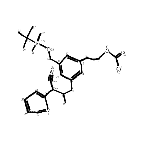 CC(Cc1cc(CCOC(=O)Cl)cc(CO[Si](C)(C)C(C)(C)C)c1)C(C#N)c1ccccn1